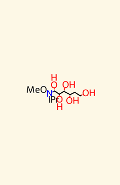 CON(C(C)C)[C@H](O)C(O)[C@@H](O)[C@H](O)CCO